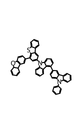 C1=CC2Oc3ccc(-c4cc(-n5c6ccccc6c6c(-c7ccc8c(c7)c7ccccc7n8-c7ccccc7)cccc65)cc5c4sc4ccccc45)cc3C2C=C1